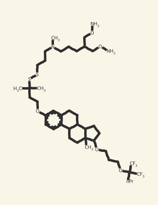 CCCC(OCCCOC1CCC2C3CCc4cc(OCCC(C)(C)SSCCCN(C)CCCC(CON)CON)ccc4C3CCC12C)(C(F)(F)F)C(F)(F)F